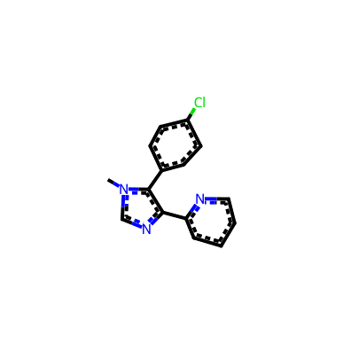 Cn1cnc(-c2ccccn2)c1-c1ccc(Cl)cc1